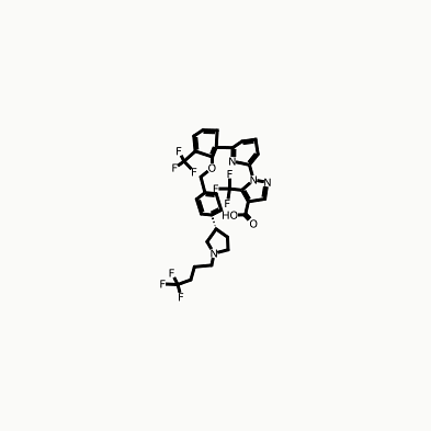 O=C(O)c1cnn(-c2cccc(-c3cccc(C(F)(F)F)c3OCc3ccc([C@@H]4CCN(CCCC(F)(F)F)C4)cc3)n2)c1C(F)(F)F